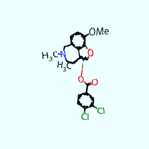 COc1ccc2c3c1OC1C[C@@H](OC(=O)c4ccc(Cl)c(Cl)c4)C(C)[C@@]31CCN(C)C2